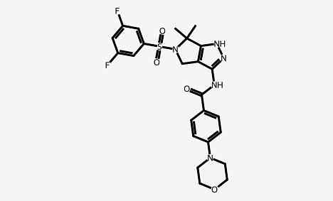 CC1(C)c2[nH]nc(NC(=O)c3ccc(N4CCOCC4)cc3)c2CN1S(=O)(=O)c1cc(F)cc(F)c1